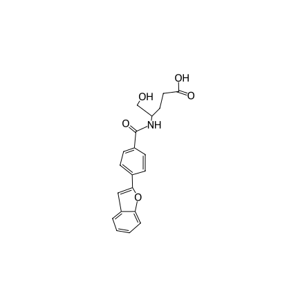 O=C(O)CCC(CO)NC(=O)c1ccc(-c2cc3ccccc3o2)cc1